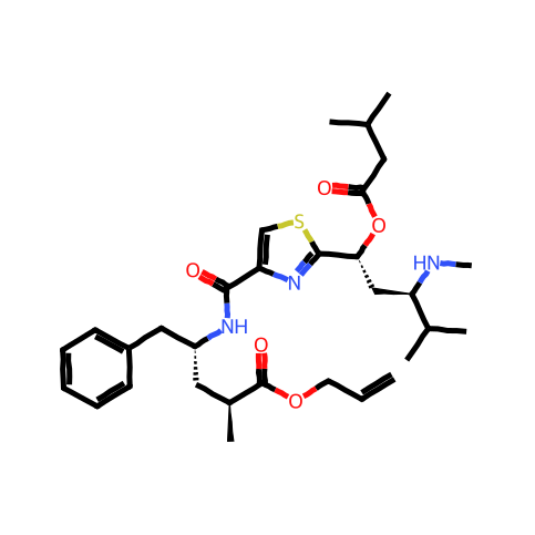 C=CCOC(=O)[C@@H](C)C[C@H](Cc1ccccc1)NC(=O)c1csc([C@@H](C[C@@H](NC)C(C)C)OC(=O)CC(C)C)n1